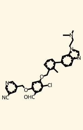 Cc1c(COc2cc(OCc3cncc(C#N)c3)c(C=O)cc2Cl)cccc1-c1ccc2ncn(CCN(C)C)c2c1